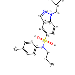 CCc1ccc(N(CCC(C)C)S(=O)(=O)c2ccc3c(cnn3CC3COC3)c2)cc1